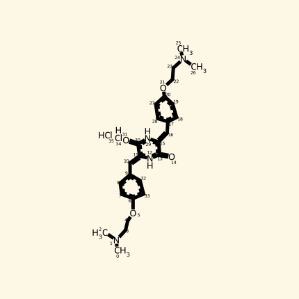 CN(C)CCOc1ccc(C=c2[nH]c(=O)c(=Cc3ccc(OCCN(C)C)cc3)[nH]c2=O)cc1.Cl.Cl